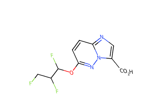 O=C(O)c1cnc2ccc(OC(F)C(F)CF)nn12